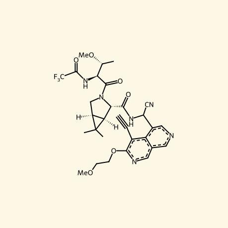 C#Cc1c(OCCOC)ncc2cncc(C(C#N)NC(=O)[C@@H]3[C@@H]4[C@H](CN3C(=O)[C@@H](NC(=O)C(F)(F)F)[C@@H](C)OC)C4(C)C)c12